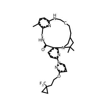 Cc1ccc2nc1SNC(=O)c1ccc(-n3ccc(OCCC4(C(F)(F)F)CC4)n3)nc1N1CC(CCCCN2)CC1(C)C